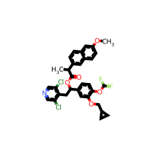 COc1ccc2cc(C(C)C(=O)OC(Cc3c(Cl)cncc3Cl)c3ccc(OC(F)F)c(OCC4CC4)c3)ccc2c1